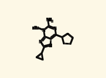 CCCCn1c(N)nc(C2CCCC2)c2nc(C3CC3)nc1-2